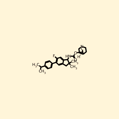 CC(C)c1ccc(-c2cc3c(cc2F)C(NC(=O)O[C@H]2CN4CCC2CC4)C(C)(C)C3)cc1